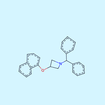 c1ccc(C(c2ccccc2)N2CC(Oc3cccc4ccccc34)C2)cc1